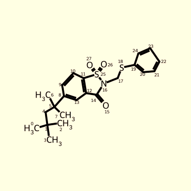 CC(C)(C)CC(C)(C)c1ccc2c(c1)C(=O)N(CSc1ccccc1)S2(=O)=O